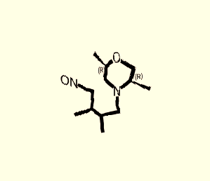 CC(CN=O)C(C)CN1C[C@@H](C)OC[C@H]1C